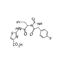 CC(C)CC(C(=O)Nc1nc(C(=O)O)cs1)N1C(=O)NC(c2ccc(F)cc2)C1=O